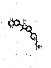 CNCCN1CCC(c2ccc3[nH]c(-c4ccc5nccnc5c4)c(C)c3c2)CC1